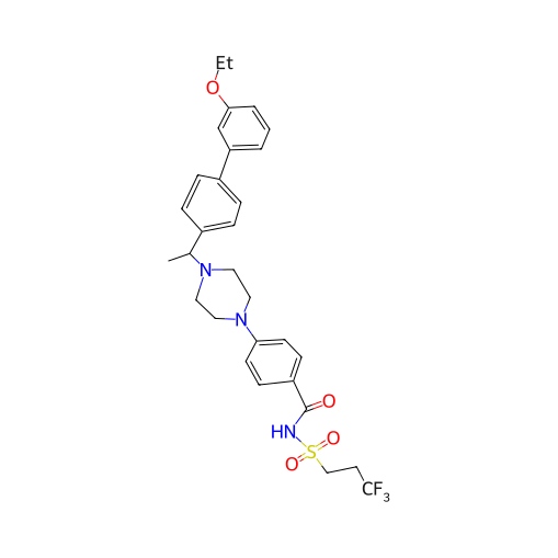 CCOc1cccc(-c2ccc(C(C)N3CCN(c4ccc(C(=O)NS(=O)(=O)CCC(F)(F)F)cc4)CC3)cc2)c1